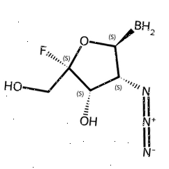 B[C@@H]1O[C@](F)(CO)[C@@H](O)[C@H]1N=[N+]=[N-]